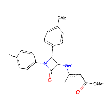 COC(=O)/C=C(\C)NC1C(=O)N(c2ccc(C)cc2)C1c1ccc(OC)cc1